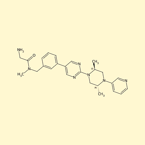 C[C@@H]1CN(c2ncc(-c3cccc(CN(C)C(=O)CN)c3)cn2)[C@@H](C)CN1c1cccnc1